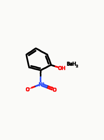 O=[N+]([O-])c1ccccc1O.[BaH2]